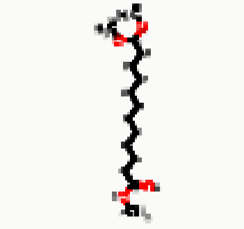 COC(=O)CCCCCCCCCCC(OC)OC